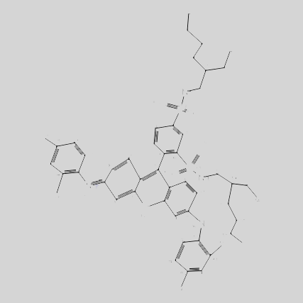 CCCCC(CC)CNS(=O)(=O)c1ccc(-c2c3cc/c(=N\c4ccc(C)cc4C)cc-3oc3cc(Nc4ccc(C)cc4C)ccc23)c(S(=O)(=O)NCC(CC)CCCC)c1